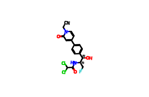 N#CCn1ccc(-c2ccc([C@@H](O)[C@@H](CF)NC(=O)C(Cl)Cl)cc2)cc1=O